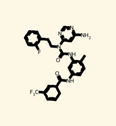 Cc1ccc(NC(=O)C2C=C(C(F)(F)F)C=CC2)cc1NC(=O)N(CCc1ccccc1F)c1cc(N)ncn1